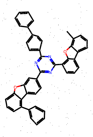 Cc1cccc2c1oc1c(-c3nc(-c4ccc(-c5ccccc5)cc4)nc(-c4ccc5c(c4)oc4cccc(-c6ccccc6)c45)n3)cccc12